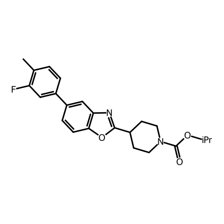 Cc1ccc(-c2ccc3oc(C4CCN(C(=O)OC(C)C)CC4)nc3c2)cc1F